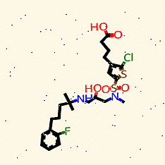 CN(CC(O)CNC(C)(C)CCCc1ccccc1F)S(=O)(=O)c1cc(CCCC(=O)O)c(Cl)s1